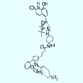 CC(C)(C)[Si](C)(C)O[C@@H](CNC[C@H]1CC[C@H](NC(=O)CCCc2ccc(-c3ccccc3)c(N(C(=O)O)C3CCC(N)CC3)c2)CC1)c1ccc(O)c2[nH]c(=O)ccc12